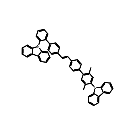 Cc1cc(-n2c3ccccc3c3ccccc32)c(C)cc1-c1ccc(/C=C/c2ccc(-c3ccccc3-n3c4ccccc4c4ccccc43)cc2)cc1